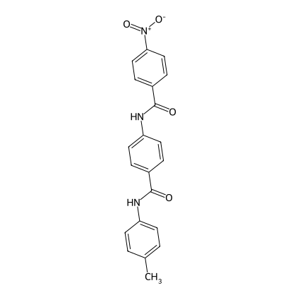 Cc1ccc(NC(=O)c2ccc(NC(=O)c3ccc([N+](=O)[O-])cc3)cc2)cc1